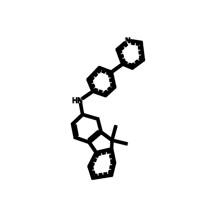 CC1(C)C2=C(C=CC(Nc3ccc(-c4cccnc4)cc3)C2)c2ccccc21